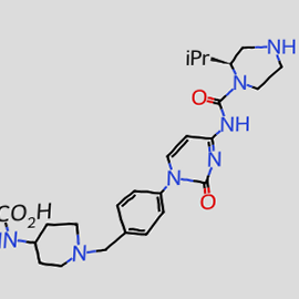 CC(C)[C@H]1CNCCN1C(=O)Nc1ccn(-c2ccc(CN3CCC(NC(=O)O)CC3)cc2)c(=O)n1